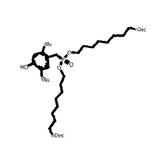 CCCCCCCCCCCCCCCCCCOP(=O)(Cc1cc(C(C)(C)C)c(O)cc1C(C)(C)C)OCCCCCCCCCCCCCCCCCC